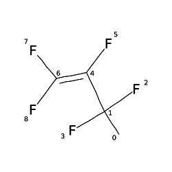 CC(F)(F)C(F)=C(F)F